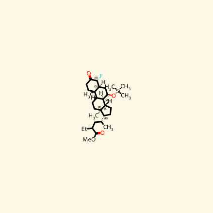 CCC(CC(C)[C@H]1CC[C@H]2[C@@H]3[C@H](O[Si](C)(C)C)C[C@@H]4[C@@H](F)C(=O)CC[C@]4(C)[C@H]3CC[C@]12C)C(=O)OC